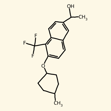 CC1CCC(Oc2ccc3cc(C(C)O)ccc3c2C(F)(F)F)CC1